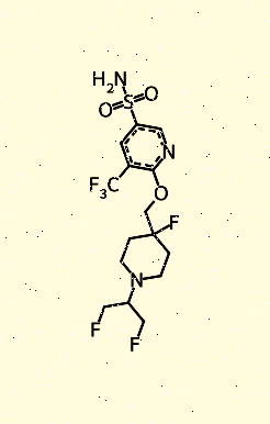 NS(=O)(=O)c1cnc(OCC2(F)CCN(C(CF)CF)CC2)c(C(F)(F)F)c1